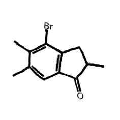 Cc1cc2c(c(Br)c1C)CC(C)C2=O